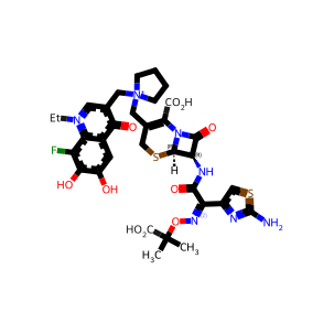 CCn1cc(C[N+]2(CC3=C(C(=O)O)N4C(=O)[C@@H](NC(=O)/C(=N\OC(C)(C)C(=O)O)c5csc(N)n5)[C@H]4SC3)CCCC2)c(=O)c2cc(O)c(O)c(F)c21